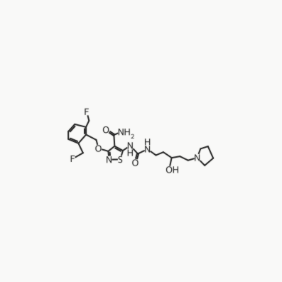 NC(=O)c1c(OCc2c(CF)cccc2CF)nsc1NC(=O)NCCC(O)CCN1CCCC1